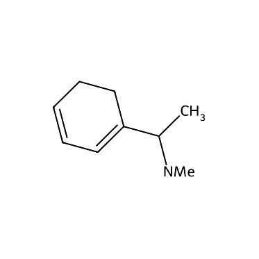 CNC(C)C1=CC=CCC1